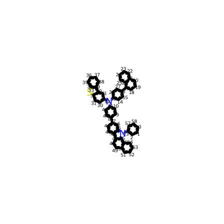 c1ccc(-n2c3cc(-c4ccc(N(c5ccc(-c6cccc7ccccc67)cc5)c5ccc6sc7ccccc7c6c5)cc4)ccc3c3ccc4ccccc4c32)cc1